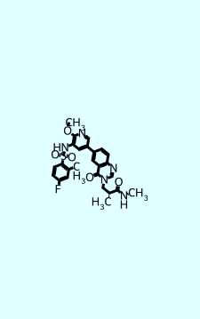 CNC(=O)[C@H](C)Cn1cnc2ccc(-c3cnc(OC)c(NS(=O)(=O)c4ccc(F)cc4C)c3)cc2c1=O